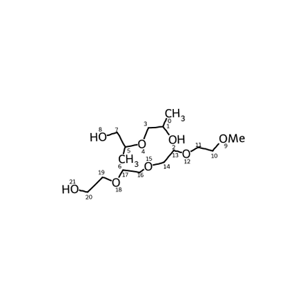 CC(O)COC(C)CO.COCCOCCOCCOCCO